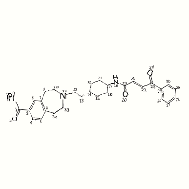 CC(C)C(=O)c1ccc2c(c1)CCN(CC[C@H]1CC[C@H](NC(=O)C=CC(=O)c3ccccc3)CC1)CC2